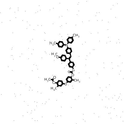 COc1ccc(/C(=C\c2ccc(N(c3ccc(C)cc3)c3ccc(C)cc3)cc2)c2ccc(OC(=O)Oc3ccc(Oc4ccc(OC(C)=O)c(C)c4)cc3C)cc2)cc1